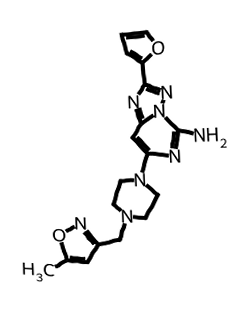 Cc1cc(CN2CCN(c3cc4nc(-c5ccco5)nn4c(N)n3)CC2)no1